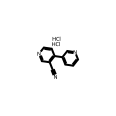 Cl.Cl.N#Cc1cnccc1-c1cccnc1